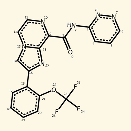 O=C(Nc1cccnn1)c1nccn2cc(-c3ccccc3OC(F)(F)F)nc12